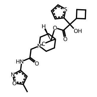 Cc1cc(NC(=O)C[N+]23CCC(CC2)[C@@H](OC(=O)C(O)(c2cccs2)C2CCC2)C3)no1